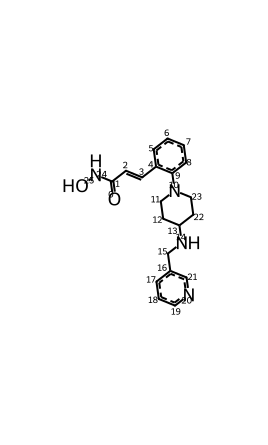 O=C(/C=C/c1ccccc1N1CCC(NCc2cccnc2)CC1)NO